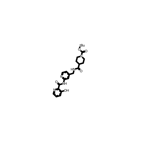 CC(C)(C)OC(=O)N1CCC(C(=O)NCc2ccnc(NC(=O)c3ncccc3O)c2)CC1